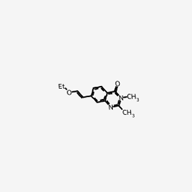 CCO/C=C/c1ccc2c(=O)n(C)c(C)nc2c1